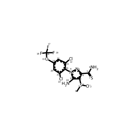 C[S+]([O-])c1c(C(N)=S)nn(-c2c(Cl)cc(OC(F)(F)F)cc2Cl)c1N